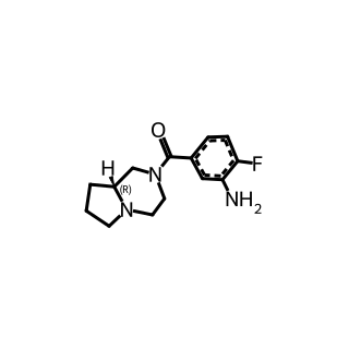 Nc1cc(C(=O)N2CCN3CCC[C@@H]3C2)ccc1F